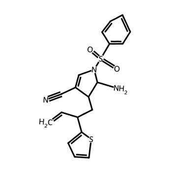 C=CC(CC1C(C#N)=CN(S(=O)(=O)c2ccccc2)C1N)c1cccs1